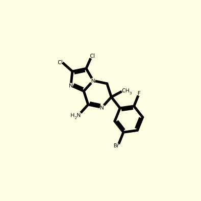 CC1(c2cc(Br)ccc2F)Cn2c(nc(Cl)c2Cl)C(N)=N1